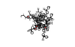 CCCCCCCCO[C@]1(OP(=O)(OCOC(C)=O)OCOC(C)=O)[C@H](OC(=O)CCC)[C@H](O)[C@](O)(OP(=O)(OCOC(C)=O)OCOC(C)=O)[C@@](O)(OP(=O)(OCOC(C)=O)OCOC(C)=O)[C@]1(O)OP(=O)(OCOC(C)=O)OCOC(C)=O